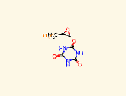 CC1CO1.O=c1[nH]c(=O)[nH]c(=O)[nH]1.P